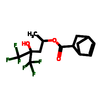 CC(CC(O)(C(F)(F)F)C(F)(F)F)OC(=O)C1CC2C=CC1C2